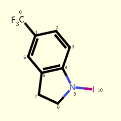 FC(F)(F)c1ccc2c(c1)CCN2I